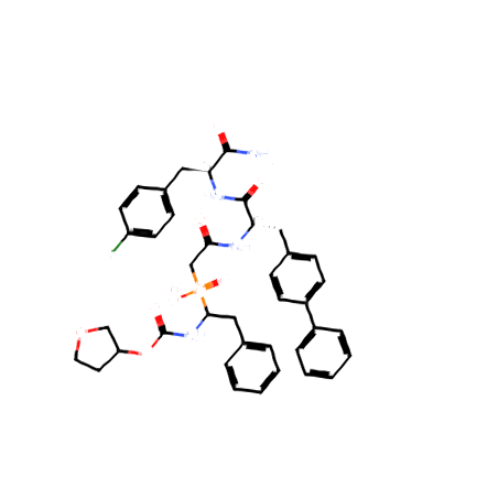 NC(=O)[C@H](Cc1ccc(Cl)cc1)NC(=O)[C@H](Cc1ccc(-c2ccccc2)cc1)NC(=O)CP(=O)(O)C(Cc1ccccc1)NC(=O)OC1CCOC1